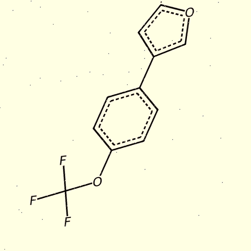 FC(F)(F)Oc1ccc(-c2c[c]oc2)cc1